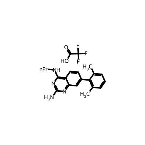 CCCNc1nc(N)nc2cc(-c3c(C)cccc3C)ccc12.O=C(O)C(F)(F)F